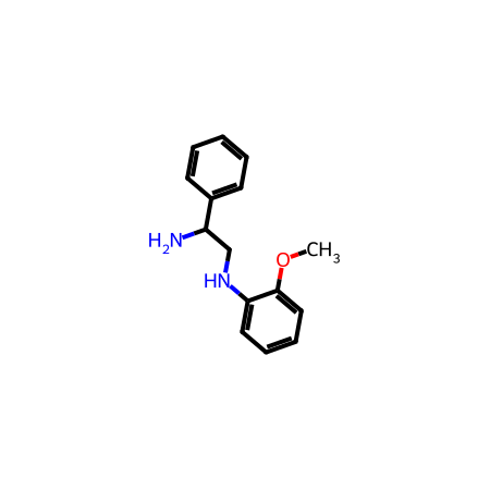 COc1ccccc1NCC(N)c1ccccc1